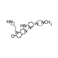 CN1CCN(c2ccc(Nc3cc4c(ccc(=O)n4CCC4CNC4)cn3)nc2)CC1